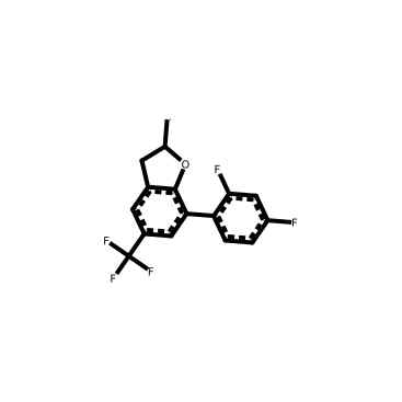 [CH2]C1Cc2cc(C(F)(F)F)cc(-c3ccc(F)cc3F)c2O1